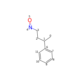 CC(CCN=O)c1ccccc1